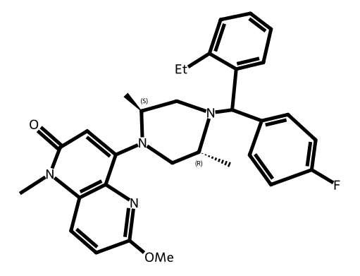 CCc1ccccc1C(c1ccc(F)cc1)N1C[C@H](C)N(c2cc(=O)n(C)c3ccc(OC)nc23)C[C@H]1C